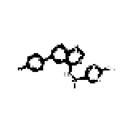 C[C@@H](Nc1ncnc2ccc(-c3ccc(F)cc3)cc12)c1cnc(C(F)(F)F)nc1